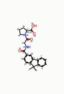 CC1(C)c2ccccc2-c2cc(C(=O)NCC(=O)N3CCC[C@H]3C(=O)O)ccc21